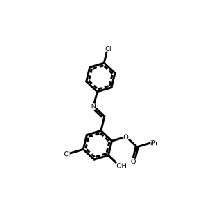 CC(C)C(=O)Oc1c(O)cc(Cl)cc1C=Nc1ccc(Cl)cc1